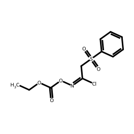 CCOC(=O)O/N=C(/Cl)CS(=O)(=O)c1ccccc1